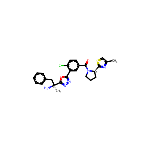 Cc1csc([C@H]2CCCN2C(=O)c2ccc(Cl)c(-c3nnc([C@@](C)(N)Cc4ccccc4)o3)c2)n1